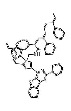 C=C/C=C\C=C/C1=CC(c2nc(-c3ccccc3)nc3c2sc2ccccc23)=C[C@@]1(CNC(=C)\C(=C/C(=C\C=C/C(=C\C)c1ccccc1)c1ccccc1)c1ccccc1)c1ccccc1